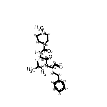 CC(C)C[C@H](NC(=O)N1CCN(C)CC1)C(=O)N[C@H](C=O)CCc1ccccc1